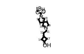 CC(C)(C)OC(=O)N1CCC2(CCN(CCC3CC(O)C3)C2)C1